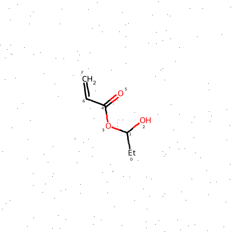 [CH2]CC(O)OC(=O)C=C